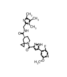 COc1cc(-c2cc(C(=O)N3CC[C@H](C(=O)NCc4nc(C)c(C)n4C)CC34CC4)n[nH]2)c(F)cn1